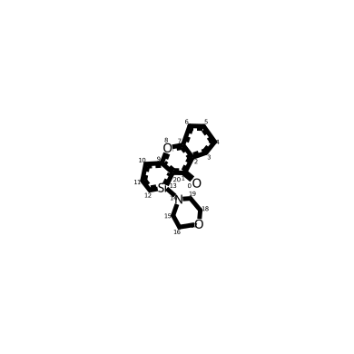 O=c1c2ccccc2oc2ccc[si](N3CCOCC3)c12